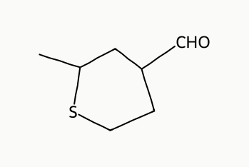 CC1CC(C=O)CCS1